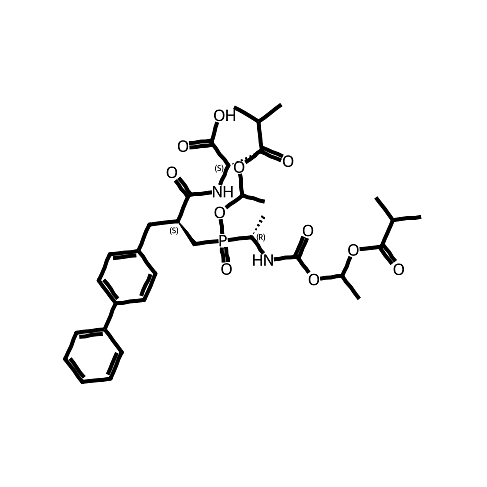 CC(OC(=O)N[C@@H](C)P(=O)(C[C@@H](Cc1ccc(-c2ccccc2)cc1)C(=O)N[C@@H](C)C(=O)O)OC(C)OC(=O)C(C)C)OC(=O)C(C)C